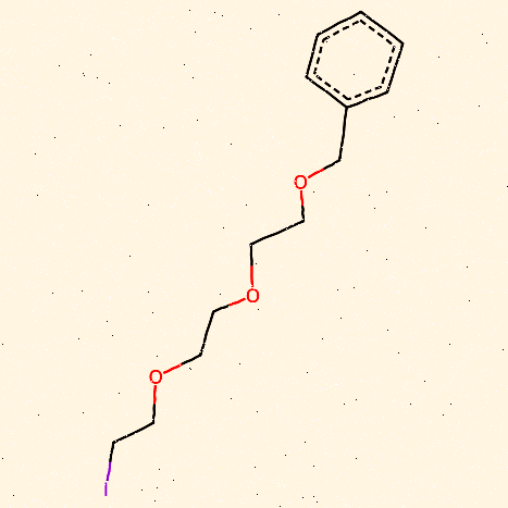 ICCOCCOCCOCc1ccccc1